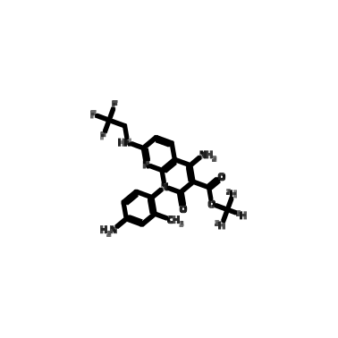 [2H]C([2H])([2H])OC(=O)c1c(N)c2ccc(NCC(F)(F)F)nc2n(-c2ccc(N)cc2C)c1=O